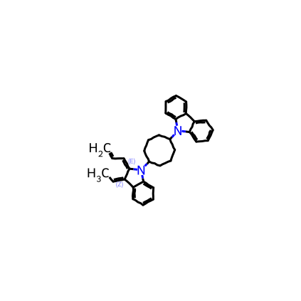 C=C/C=c1\c(=C/C)c2ccccc2n1C1CCCC(n2c3ccccc3c3ccccc32)CCC1